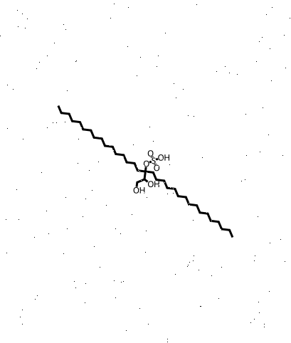 CCCCCCCCCCCCCCCCC(CCCCCCCCCCCCCCCC)(OS(=O)(=O)O)C(O)CO